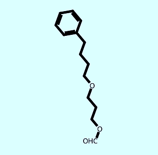 O=COCCCOCCCCc1ccccc1